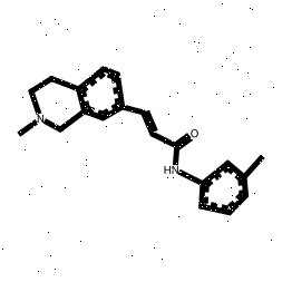 Cc1cccc(NC(=O)C=Cc2ccc3c(c2)CN(C)CC3)c1